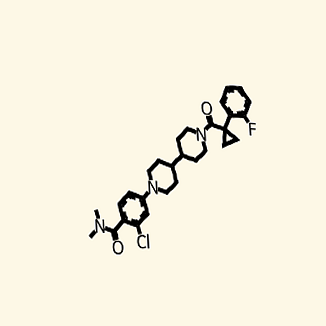 CN(C)C(=O)c1ccc(N2CCC(C3CCN(C(=O)C4(c5ccccc5F)CC4)CC3)CC2)cc1Cl